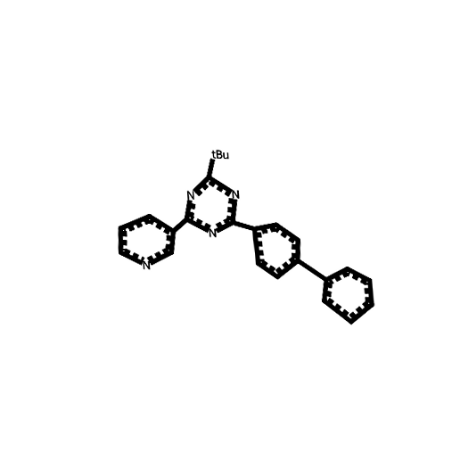 CC(C)(C)c1nc(-c2ccc(-c3ccccc3)cc2)nc(-c2cccnc2)n1